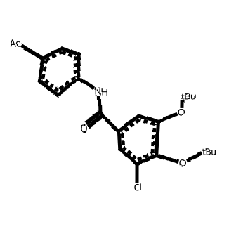 CC(=O)c1ccc(NC(=O)c2cc(Cl)c(OC(C)(C)C)c(OC(C)(C)C)c2)cc1